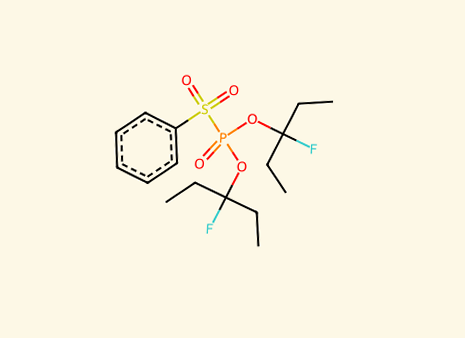 CCC(F)(CC)OP(=O)(OC(F)(CC)CC)S(=O)(=O)c1ccccc1